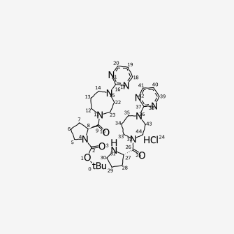 CC(C)(C)OC(=O)N1CCC[C@H]1C(=O)N1CCCN(c2ncccn2)CC1.Cl.O=C([C@@H]1CCCN1)N1CCCN(c2ncccn2)CC1